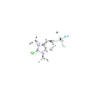 CC(C)N1c2ccccc2N(C(C)C)C1Cl.F[B-](F)(F)F